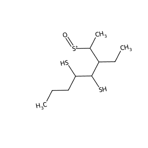 CCCC(S)C(S)C(CC)C(C)[S+]=O